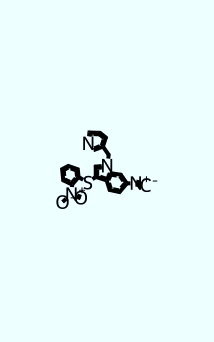 [C-]#[N+]c1ccc2c(Sc3ccccc3[N+](=O)[O-])cn(Cc3cccnc3)c2c1